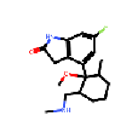 CNCC1CCCC(C)C1(OC)c1cc(F)cc2c1CC(=O)N2